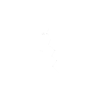 CCCCCCO[Si](=O)[O-].[Na+]